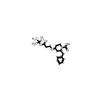 CC(C)(C)OC(=O)CCOC1CCN(C(=O)O)C(Cc2ccccc2)C1